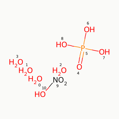 O.O.O.O.O=P(O)(O)O.O=[N+]([O-])O